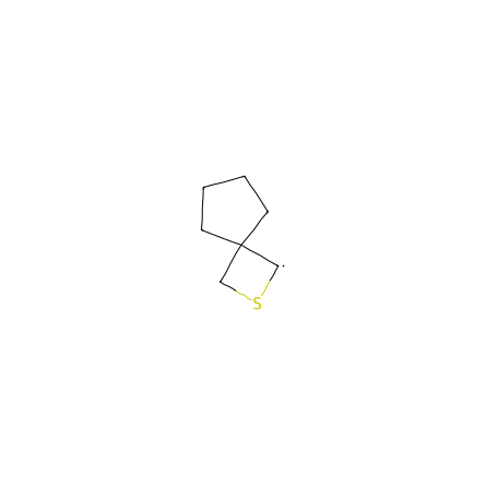 [CH]1SCC12CCCC2